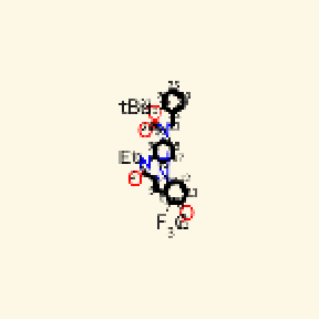 CCN(C(=O)c1cc2cc(OC(F)(F)F)ccc2[nH]1)[C@H]1CCC[C@@H](N(Cc2ccccc2)C(=O)OC(C)(C)C)C1